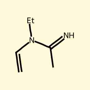 C=CN(CC)C(C)=N